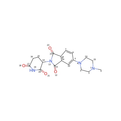 CN1CCN(c2ccc3c(c2)C(=O)N(C2CCC(=O)NC2=O)C3=O)CC1